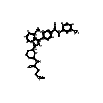 COCCC(=O)NC1CCCN(c2nc(-c3ccc(C(=O)Nc4cc(C(F)(F)F)ccn4)cc3)c3c(N)nccn23)C1